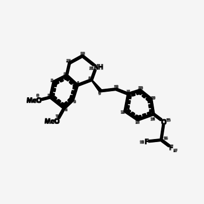 COc1cc2c(cc1OC)[C@H](CCc1ccc(OC(F)F)cc1)NCC2